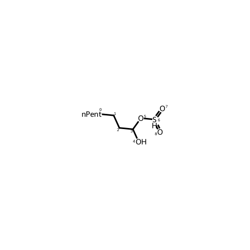 CCCCCCCC(O)O[SH](=O)=O